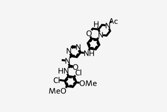 COc1cc(OC)c(Cl)c(NC(=O)N(C)c2cc(Nc3ccc4c(c3)OC[C@H]3CN(C(C)=O)CCN43)ncn2)c1Cl